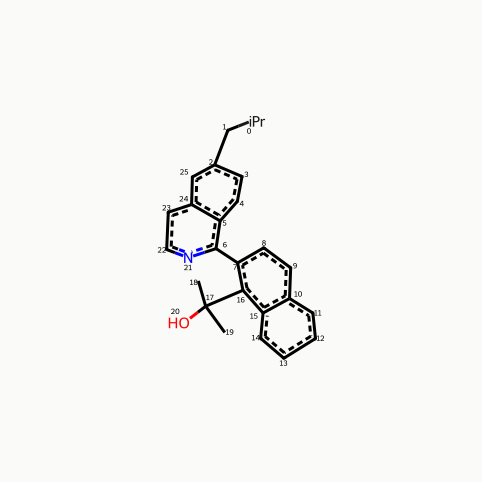 CC(C)Cc1ccc2c(-c3ccc4ccccc4c3C(C)(C)O)nccc2c1